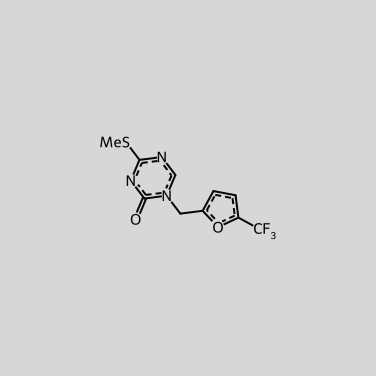 CSc1ncn(Cc2ccc(C(F)(F)F)o2)c(=O)n1